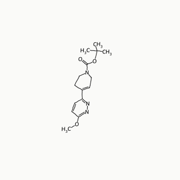 COc1ccc(C2=CCN(C(=O)OC(C)(C)C)CC2)nn1